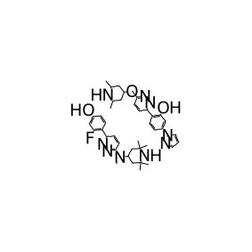 CC1CC(Oc2ccc(-c3ccc(-n4cccn4)cc3O)nn2)CC(C)N1.CN(c1ccc(-c2ccc(O)cc2F)nn1)C1CC(C)(C)NC(C)(C)C1